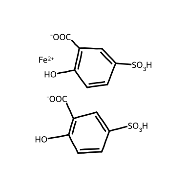 O=C([O-])c1cc(S(=O)(=O)O)ccc1O.O=C([O-])c1cc(S(=O)(=O)O)ccc1O.[Fe+2]